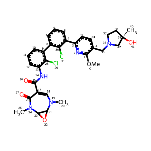 COc1nc(-c2cccc(-c3cccc(NC(=O)C4=CN(C)C5OC5N(C)C4=O)c3Cl)c2Cl)ccc1CN1CC[C@@](C)(O)C1